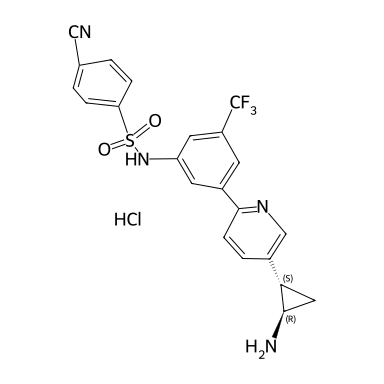 Cl.N#Cc1ccc(S(=O)(=O)Nc2cc(-c3ccc([C@@H]4C[C@H]4N)cn3)cc(C(F)(F)F)c2)cc1